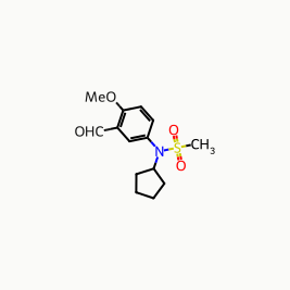 COc1ccc(N(C2CCCC2)S(C)(=O)=O)cc1C=O